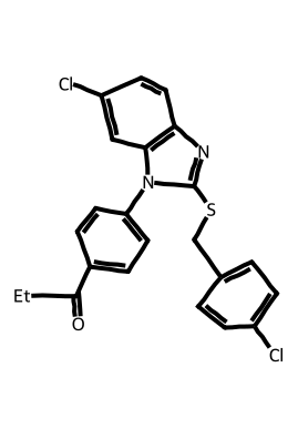 CCC(=O)c1ccc(-n2c(SCc3ccc(Cl)cc3)nc3ccc(Cl)cc32)cc1